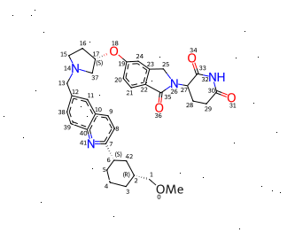 COC[C@@H]1CCC[C@H](c2ccc3cc(CN4CC[C@H](Oc5ccc6c(c5)CN(C5CCC(=O)NC5=O)C6=O)C4)ccc3n2)C1